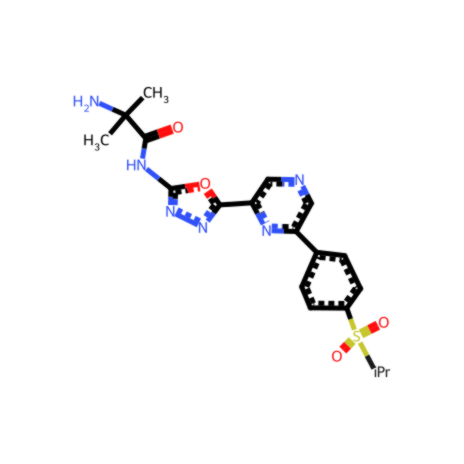 CC(C)S(=O)(=O)c1ccc(-c2cncc(-c3nnc(NC(=O)C(C)(C)N)o3)n2)cc1